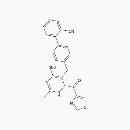 CCCCC1=C(Cc2ccc(-c3ccccc3C#N)cc2)C(C(=O)c2cscn2)NC(C)=N1